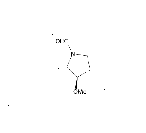 CO[C@@H]1CCN(C=O)C1